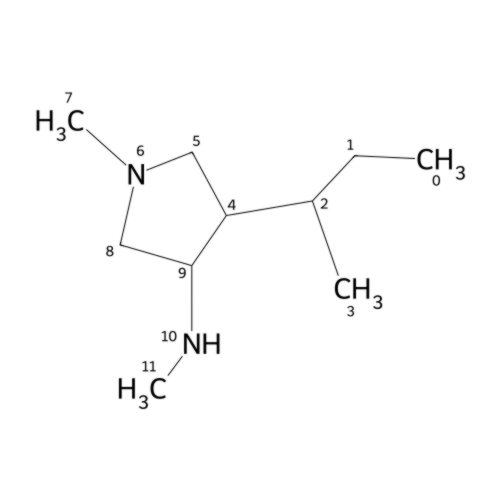 CCC(C)C1CN(C)CC1NC